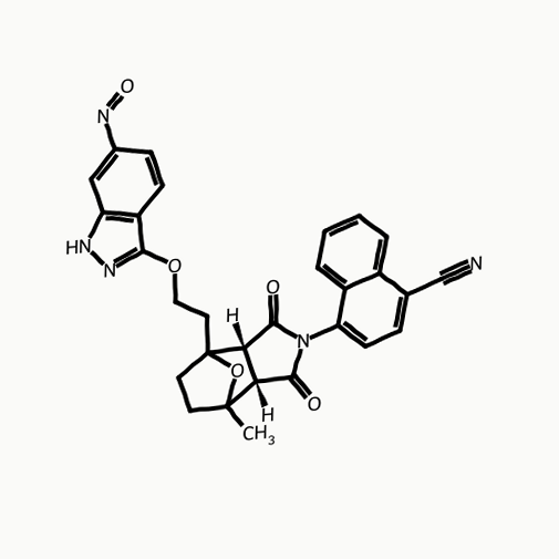 CC12CCC(CCOc3n[nH]c4cc(N=O)ccc34)(O1)[C@@H]1C(=O)N(c3ccc(C#N)c4ccccc34)C(=O)[C@@H]12